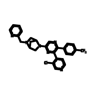 FC(F)(F)c1ccc(-c2ncc(N3CC4CC3CN4Cc3ccccn3)nc2-c2ccncc2Cl)cc1